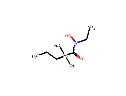 CC[CH2][Sn]([CH3])([CH3])[C](=O)N(O)CC